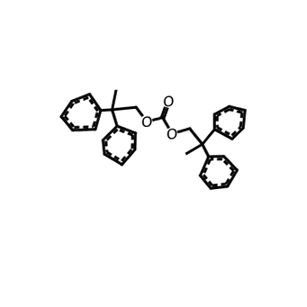 CC(COC(=O)OCC(C)(c1ccccc1)c1ccccc1)(c1ccccc1)c1ccccc1